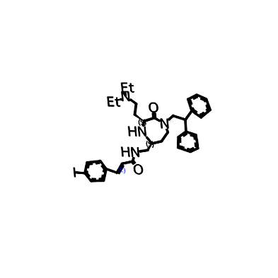 CCN(CC)CC[C@@H]1N[C@H](CNC(=O)/C=C/c2ccc(I)cc2)CCN(CC(c2ccccc2)c2ccccc2)C1=O